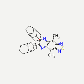 Cc1c2nsnc2c(C)c2nc(C3C4=C5CCCC(=C3CC4)C5)c(C3C4=C5CCC(=C3CCC4)C5)nc12